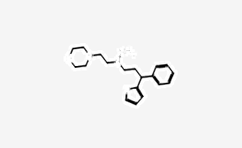 NN(CCC(c1ccccc1)c1cccs1)CCN1CCOCC1